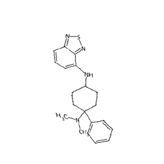 CN(C)C1(c2ccccc2)CCC(Nc2cccc3nsnc23)CC1